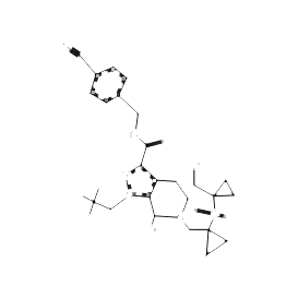 CC(C)(O)Cn1nc(C(=O)NCc2ccc(C#N)cc2)c2c1C(O)N(CC1(S(=O)(=O)C3(CO)CC3)CC1)CC2